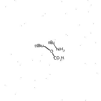 CCCCN.CCCCOC(=O)O